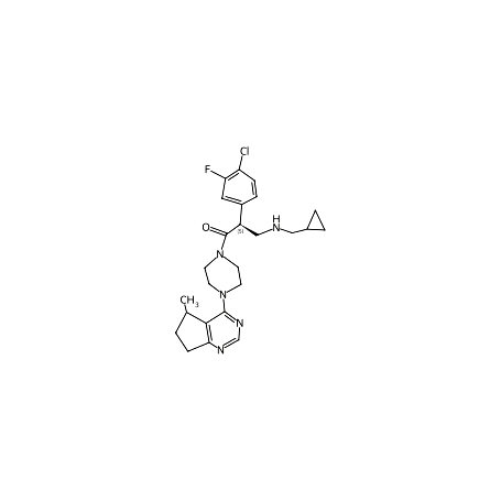 CC1CCc2ncnc(N3CCN(C(=O)[C@H](CNCC4CC4)c4ccc(Cl)c(F)c4)CC3)c21